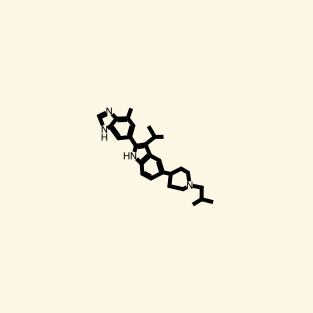 Cc1cc(-c2[nH]c3ccc(C4CCN(CC(C)C)CC4)cc3c2C(C)C)cc2[nH]cnc12